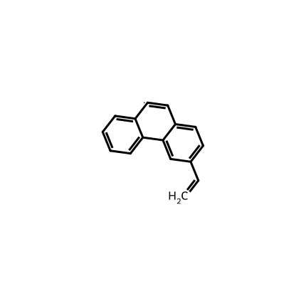 C=Cc1ccc2c[c]c3ccccc3c2c1